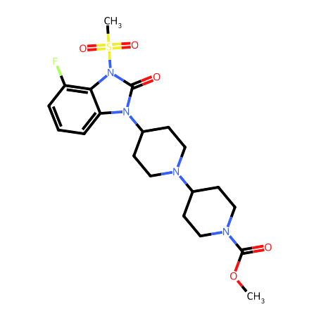 COC(=O)N1CCC(N2CCC(n3c(=O)n(S(C)(=O)=O)c4c(F)cccc43)CC2)CC1